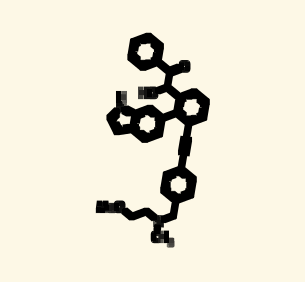 COCCN(C)Cc1ccc(C#Cc2cccc(C(O)C(=O)c3ccccc3)c2-c2ccc3cc[nH]c3c2)cc1